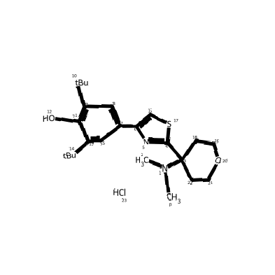 CN(C)C1(c2nc(-c3cc(C(C)(C)C)c(O)c(C(C)(C)C)c3)cs2)CCOCC1.Cl